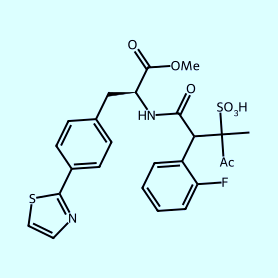 COC(=O)[C@H](Cc1ccc(-c2nccs2)cc1)NC(=O)C(c1ccccc1F)C(C)(C(C)=O)S(=O)(=O)O